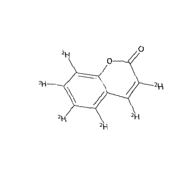 [2H]c1c([2H])c([2H])c2c([2H])c([2H])c(=O)oc2c1[2H]